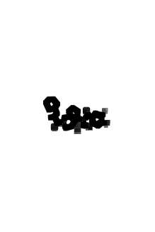 CC(CC1CCCCC1)C(=O)N1CCC(O)(Cn2cnc3cc(F)c(F)cc3c2=O)C2(CCCC2)C1